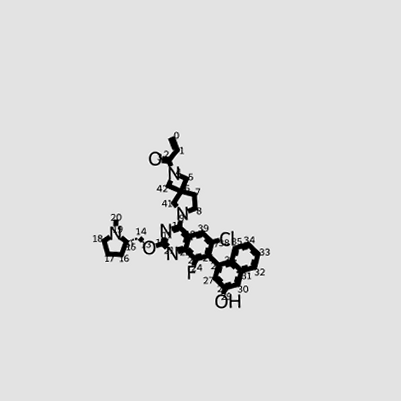 C=CC(=O)N1CC2(CCN(c3nc(OC[C@@H]4CCCN4C)nc4c(F)c(-c5cc(O)cc6ccccc56)c(Cl)cc34)C2)C1